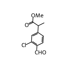 COC(=O)C(C)c1ccc(C=O)c(Cl)c1